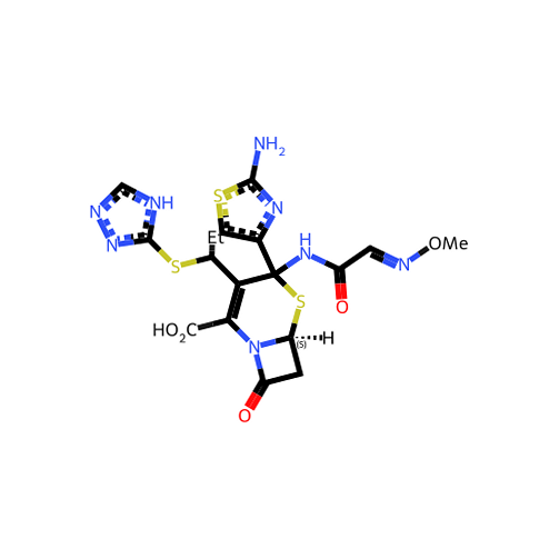 CCC(Sc1nnc[nH]1)C1=C(C(=O)O)N2C(=O)C[C@@H]2SC1(NC(=O)C=NOC)c1csc(N)n1